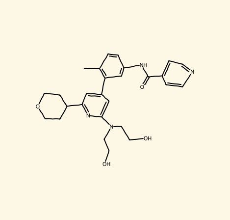 Cc1ccc(NC(=O)c2ccncc2)cc1-c1cc(C2CCOCC2)nc(N(CCO)CCO)c1